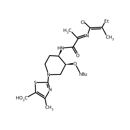 CCCCO[C@H]1CN(c2nc(C)c(C(=O)O)s2)CC[C@H]1NC(=O)/C(C)=N/C(Cl)=C(\C)CC